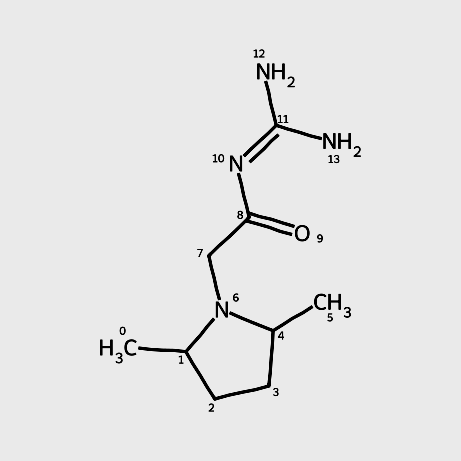 CC1CCC(C)N1CC(=O)N=C(N)N